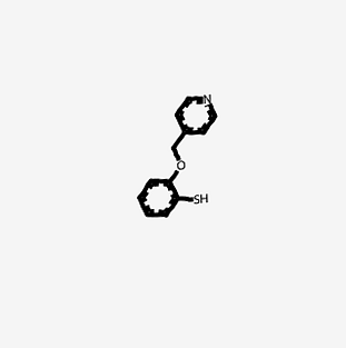 Sc1ccccc1OCc1ccncc1